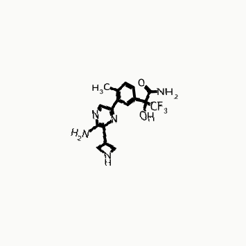 Cc1ccc(C(O)(C(N)=O)C(F)(F)F)cc1-c1cnc(N)c(C2CNC2)n1